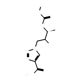 COC(=O)c1cn(CC(O)[C@H](C)NC(=O)OC(C)(C)C)nn1